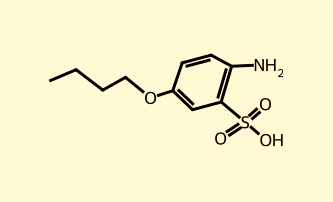 CCCCOc1ccc(N)c(S(=O)(=O)O)c1